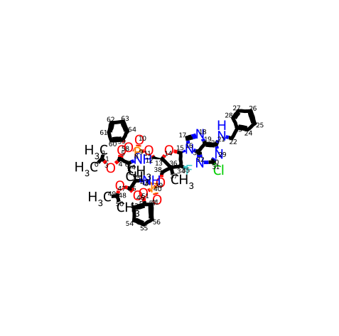 CC(C)OC(=O)[C@H](C)NP(=O)(OC[C@H]1O[C@@H](n2cnc3c(NCc4ccccc4)nc(Cl)nc32)C(F)C1(C)COP(=O)(N[C@@H](C)C(=O)OC(C)C)Oc1ccccc1)Oc1ccccc1